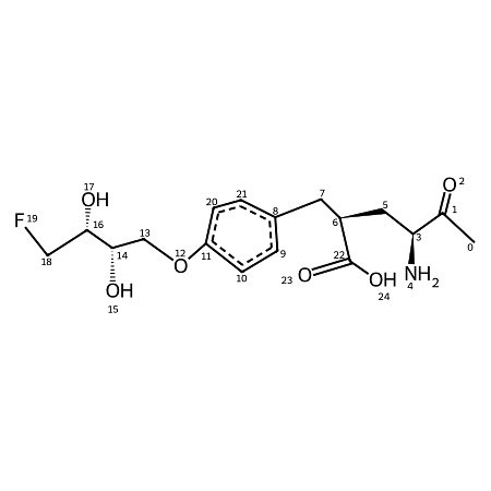 CC(=O)[C@@H](N)C[C@H](Cc1ccc(OC[C@H](O)[C@@H](O)CF)cc1)C(=O)O